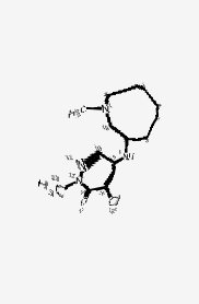 CN1CCCCCC(Nc2cnn(C)c(=O)c2Cl)C1